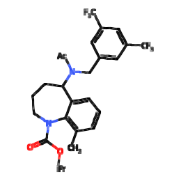 CC(=O)N(Cc1cc(C(F)(F)F)cc(C(F)(F)F)c1)C1CCCN(C(=O)OC(C)C)c2c(C)cccc21